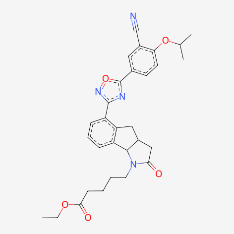 CCOC(=O)CCCCN1C(=O)CC2Cc3c(-c4noc(-c5ccc(OC(C)C)c(C#N)c5)n4)cccc3C21